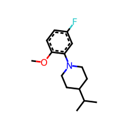 COc1ccc(F)cc1N1CCC(C(C)C)CC1